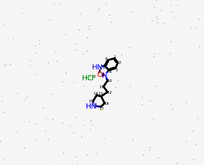 Cl.c1ccc2c(c1)NON2CCCC1CCNCC1